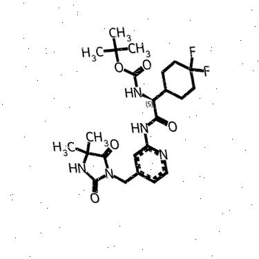 CC(C)(C)OC(=O)N[C@H](C(=O)Nc1cc(CN2C(=O)NC(C)(C)C2=O)ccn1)C1CCC(F)(F)CC1